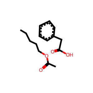 CCCCCOC(C)=O.O=C(O)Cc1ccccc1